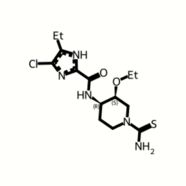 CCO[C@H]1CN(C(N)=S)CC[C@H]1NC(=O)c1nc(Cl)c(CC)[nH]1